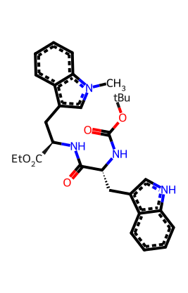 CCOC(=O)[C@@H](Cc1cn(C)c2ccccc12)NC(=O)[C@@H](Cc1c[nH]c2ccccc12)NC(=O)OC(C)(C)C